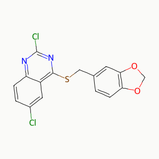 Clc1ccc2nc(Cl)nc(SCc3ccc4c(c3)OCO4)c2c1